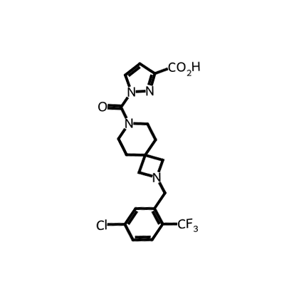 O=C(O)c1ccn(C(=O)N2CCC3(CC2)CN(Cc2cc(Cl)ccc2C(F)(F)F)C3)n1